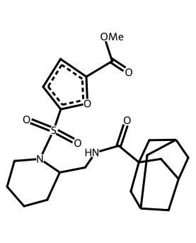 COC(=O)c1ccc(S(=O)(=O)N2CCCCC2CNC(=O)C23CC4CC(CC(C4)C2)C3)o1